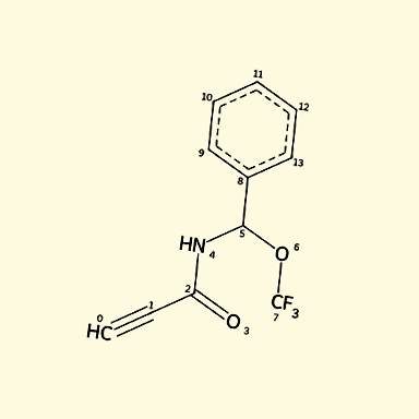 C#CC(=O)NC(OC(F)(F)F)c1ccccc1